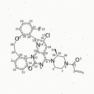 C=CC(=O)N1CCN(c2nc(=O)n3c4nc(c(Cl)cc24)-c2c(F)cccc2OCCc2ccccc2-3)[C@@H](C)C1